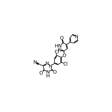 N#Cc1nn(-c2cc(Cl)c(Oc3cc(-c4ccncc4)c(=O)[nH]n3)c(Cl)c2)c(=O)[nH]c1=O